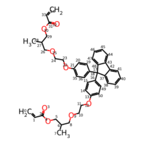 C=CC(=O)OCC(C)COCCOc1ccc(C2(c3ccc(OCCOCC(C)COC(=O)C=C)cc3)c3ccccc3-c3ccccc32)cc1